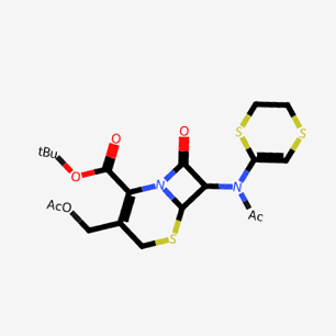 CC(=O)OCC1=C(C(=O)OC(C)(C)C)N2C(=O)C(N(C(C)=O)C3=CSCCS3)C2SC1